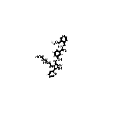 CCc1cnccc1CNC(=O)c1cccc(NCC2NNC(c3ccncn3)N2CCNCCCO)c1